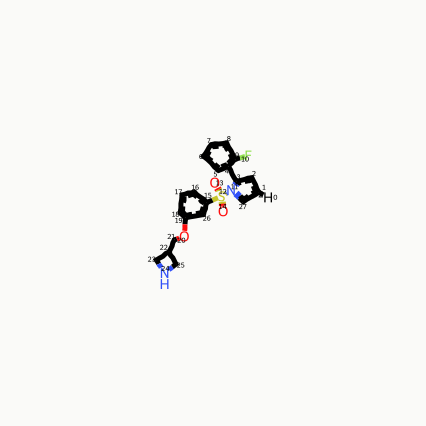 [2H]c1cc(-c2ccccc2F)n(S(=O)(=O)c2cccc(OCC3CNC3)c2)c1